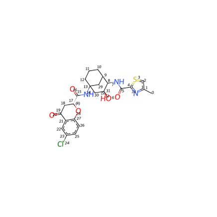 Cc1csc(C(=O)NC2C3CCCC(NC(=O)[C@H]4CC(=O)c5cc(Cl)ccc5O4)(C3)C[C@@H]2O)n1